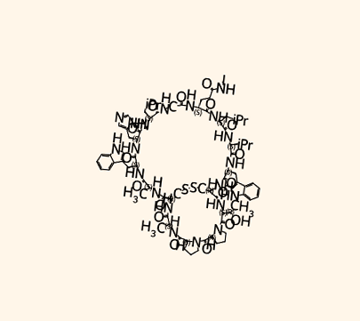 CC(C)C[C@@H]1NC(=O)[C@H](Cc2cnc[nH]2)NC(=O)[C@H](Cc2c[nH]c3ccccc23)NC(=O)[C@H](C)NC(=O)[C@@H]2CSSC[C@H](NC(=O)[C@H](Cc3c[nH]c4ccccc34)NC(=O)[C@H](C(C)C)NC(=O)[C@H](CC(C)C)NC(=O)[C@H](CCC(=O)NI)NC(=O)CNC1=O)C(=O)N[C@@H]([C@@H](C)O)C(=O)N1CCC[C@@H]1C(=O)N1CCC[C@H]1C(=O)N[C@@H](C)C(=O)N2